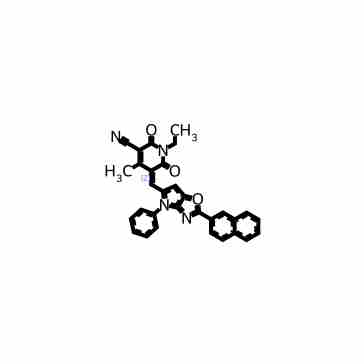 CCN1C(=O)C(C#N)=C(C)/C(=C/c2cc3oc(-c4ccc5ccccc5c4)nc3n2-c2ccccc2)C1=O